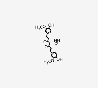 COc1cc(/C=C/C(=O)CC(=O)/C=C/c2ccc(O)c(OC)c2)ccc1O.N=O